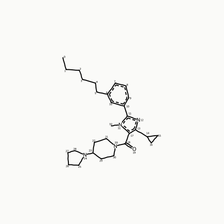 CCCCCCc1cccc(-c2nc(C3CC3)c(C(=O)N3CCC(N4CCCC4)CC3)n2C)c1